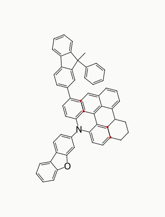 CC1(c2ccccc2)c2ccccc2-c2ccc(-c3ccc(N(c4ccc5c(c4)oc4ccccc45)c4ccccc4-c4cccc5cccc(C6CCCCC6)c45)cc3)cc21